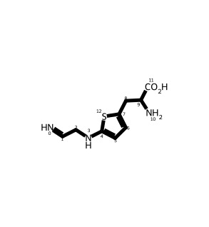 N=CCNc1ccc(CC(N)C(=O)O)s1